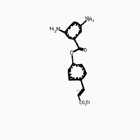 CCOC(=O)/C=C/c1ccc(OC(=O)c2cc(N)cc(N)c2)cc1